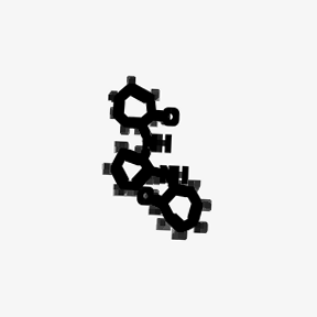 O=c1cccccc1Nc1ccccc1Nc1cccccc1=O